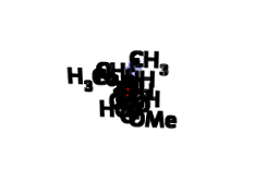 C/C=C/C=C/c1cc2c(-c3ccc(N(C)C)cc3)c3c(c(O)c2c(=O)[nH]1)[C@@]1(CC3)C(=O)c2c(O)c3c(c(O)c2C1=O)C(=O)C(OC)=CC3=O